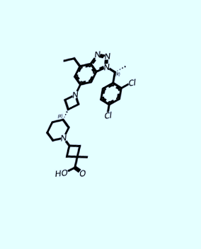 CCc1cc(N2CC([C@H]3CCCN(C4CC(C)(C(=O)O)C4)C3)C2)cc2c1nnn2[C@H](C)c1ccc(Cl)cc1Cl